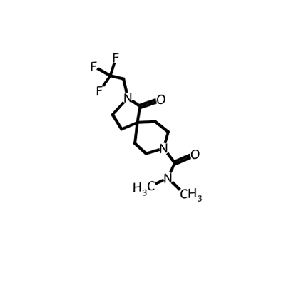 CN(C)C(=O)N1CCC2(CC1)CCN(CC(F)(F)F)C2=O